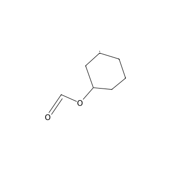 O=COC1C[CH]CCC1